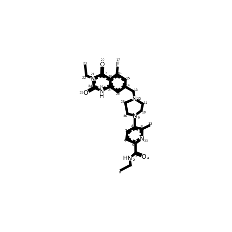 CCNC(=O)c1ccc(N2CCN(Cc3cc(F)c4c(=O)n(CC)c(=O)[nH]c4c3)CC2)c(C)n1